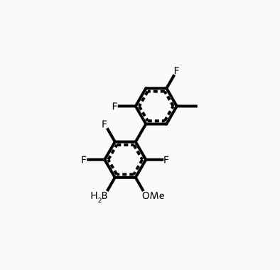 Bc1c(F)c(F)c(-c2cc(C)c(F)cc2F)c(F)c1OC